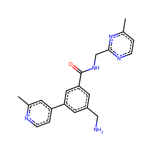 Cc1cc(-c2cc(CN)cc(C(=O)NCc3nccc(C)n3)c2)ccn1